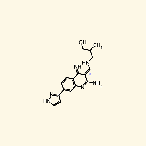 CC(CO)CN/C=C1\C(=N)c2ccc(-c3cc[nH]n3)cc2N=C1N